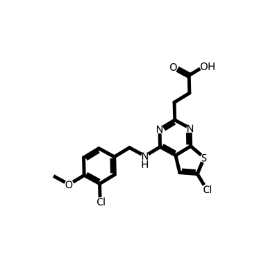 COc1ccc(CNc2nc(CCC(=O)O)nc3sc(Cl)cc23)cc1Cl